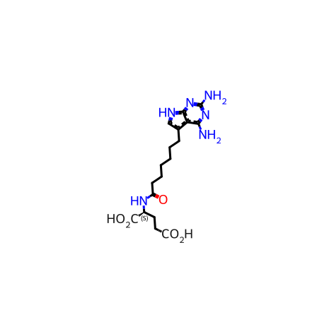 Nc1nc(N)c2c(CCCCCCC(=O)N[C@@H](CCC(=O)O)C(=O)O)c[nH]c2n1